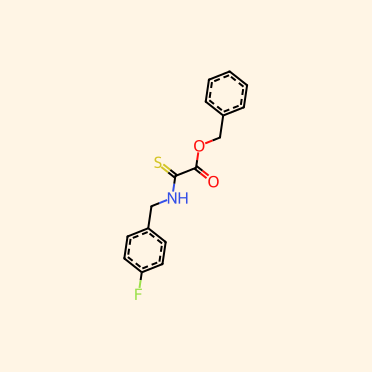 O=C(OCc1ccccc1)C(=S)NCc1ccc(F)cc1